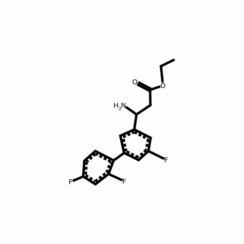 CCOC(=O)CC(N)c1cc(F)cc(-c2ccc(F)cc2F)c1